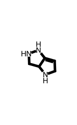 C1=C2NNCC2NC1